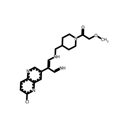 COCC(=O)N1CCC(CN/C=C(\C=N)c2cnc3ccc(Cl)nc3c2)CC1